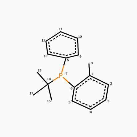 Cc1ccccc1P(c1ccccc1)C(C)(C)C